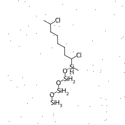 CC(Cl)CCCCCC(Cl)[SiH](C)O[SiH2]O[SiH2]O[SiH3]